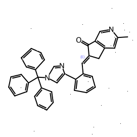 Cc1cc2c(cn1)C(=O)/C(=C/c1ccccc1-c1cn(C(c3ccccc3)(c3ccccc3)c3ccccc3)cn1)C2